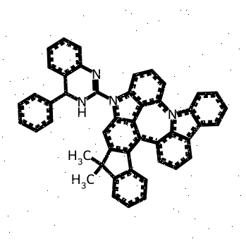 CC1(C)c2ccccc2-c2c1cc1c3c2c2cccc4c5ccccc5n(c5cccc(c35)n1C1=Nc3ccccc3C(c3ccccc3)N1)c42